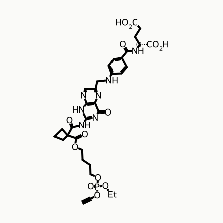 C#COP(=O)(OCC)OCCCCOC(=O)C1(C(=O)Nc2nc(=O)c3nc(CNc4ccc(C(=O)N[C@H](CCC(=O)O)C(=O)O)cc4)cnc3[nH]2)CCC1